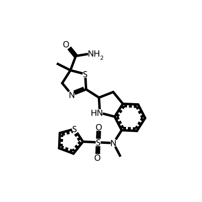 CN(c1cccc2c1NC(C1=NCC(C)(C(N)=O)S1)C2)S(=O)(=O)c1cccs1